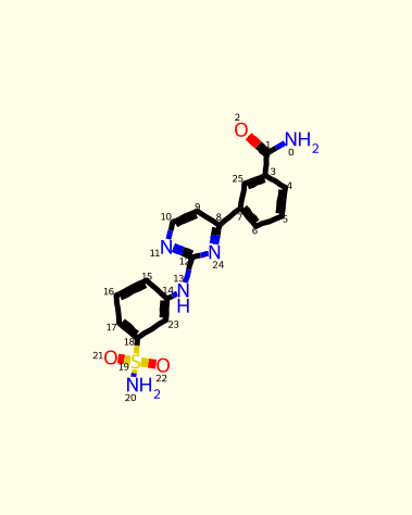 NC(=O)c1cccc(-c2ccnc(Nc3cccc(S(N)(=O)=O)c3)n2)c1